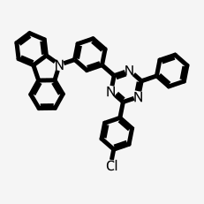 Clc1ccc(-c2nc(-c3ccccc3)nc(-c3cccc(-n4c5ccccc5c5ccccc54)c3)n2)cc1